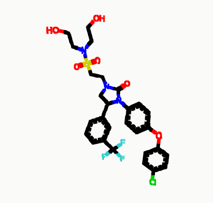 O=C1N(CCS(=O)(=O)N(CCO)CCO)CC(c2cccc(C(F)(F)F)c2)N1c1ccc(Oc2ccc(Cl)cc2)cc1